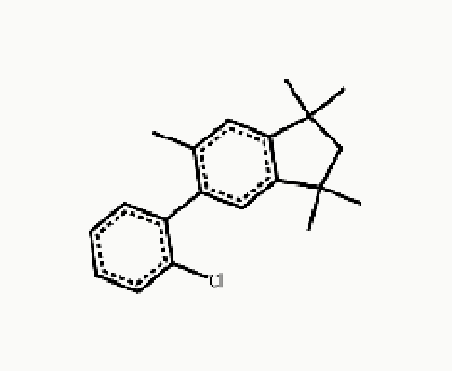 Cc1cc2c(cc1-c1ccccc1Cl)C(C)(C)CC2(C)C